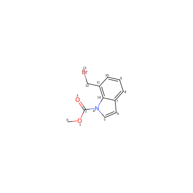 COC(=O)n1ccc2cccc(CBr)c21